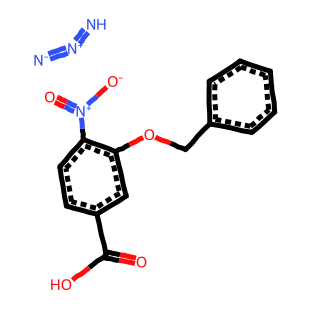 O=C(O)c1ccc([N+](=O)[O-])c(OCc2ccccc2)c1.[N-]=[N+]=N